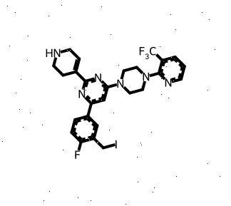 Fc1ccc(-c2cc(N3CCN(c4ncccc4C(F)(F)F)CC3)nc(C3=CCNCC3)n2)cc1CI